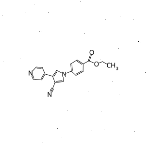 CCOC(=O)c1ccc(-n2cc(C#N)c(-c3ccncc3)c2)cc1